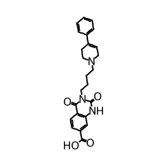 O=C(O)c1ccc2c(=O)n(CCCCN3CC=C(c4ccccc4)CC3)c(=O)[nH]c2c1